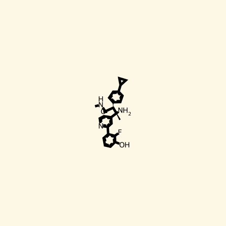 CNC(=O)[C@H](c1ccc(C2CC2)cc1)[C@](C)(N)c1ccnc(-c2cccc(O)c2F)c1